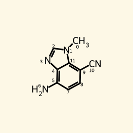 Cn1cnc2c(N)ccc(C#N)c21